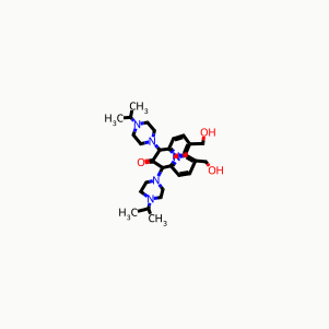 CC(C)N1CCN(C(C(=O)C(c2ccc(CO)cn2)N2CCN(C(C)C)CC2)c2ccc(CO)cn2)CC1